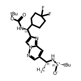 C[C@@H](N[S@@+]([O-])C(C)(C)C)c1cnn2cc([C@@H](NC(=O)OC(C)(C)C)C3CCC(F)(F)CC3)nc2c1